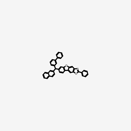 c1ccc(-c2cccc(C(c3ccc4ccccc4c3)c3ccc4c(c3)oc3cc5nc(-c6ccccc6)oc5cc34)c2)cc1